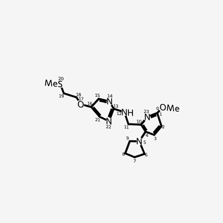 COc1ccc(N2CCCC2)c(CNc2ncc(OCCSC)cn2)n1